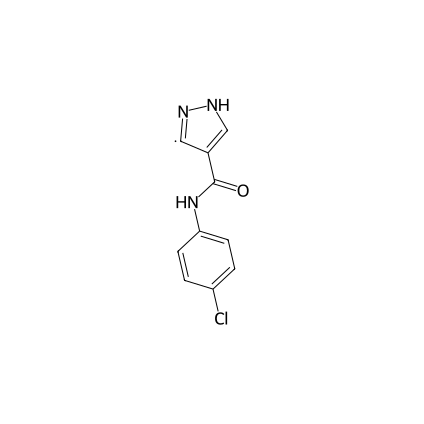 O=C(Nc1ccc(Cl)cc1)c1[c]n[nH]c1